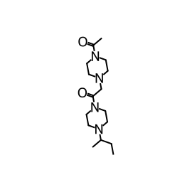 CCC(C)N1CCN(C(=O)CN2CCN(C(C)=O)CC2)CC1